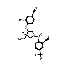 N#Cc1ccc(O[C@H]2CN([S+]([O-])c3ccc(C(F)(F)F)cc3C#N)CC2(O)CO)c(O)c1